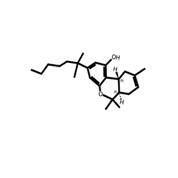 CCCCCC(C)(C)c1cc(O)c2c(c1)OC(C)(C)[C@@H]1CC=C(C)C[C@@H]21